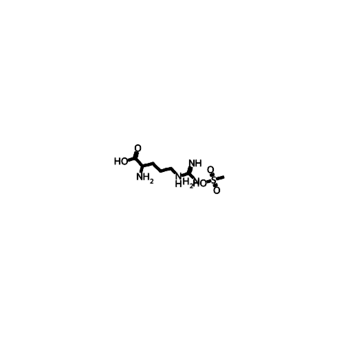 CS(=O)(=O)O.N=C(N)NCCCC(N)C(=O)O